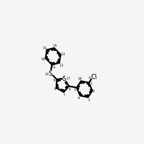 Clc1cccc(-c2ccc(Sc3ccccc3)s2)c1